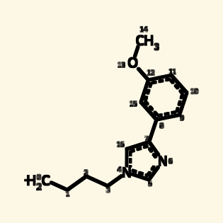 [CH2]CCCn1cnc(-c2cccc(OC)c2)c1